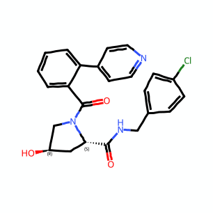 O=C(NCc1ccc(Cl)cc1)[C@@H]1C[C@@H](O)CN1C(=O)c1ccccc1-c1ccncc1